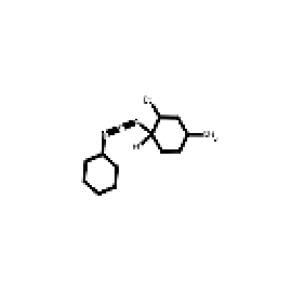 CCC1CC(N)CCC1(CC)N=C=NC1CCCCC1